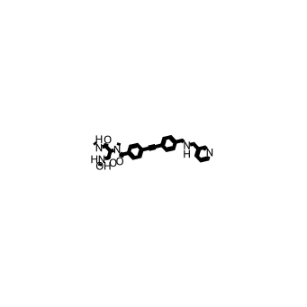 CNC(=O)C(C(=O)NO)N(C)C(=O)c1ccc(C#Cc2ccc(CNCc3cccnc3)cc2)cc1